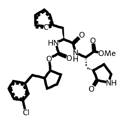 COC(=O)[C@H](C[C@@H]1CCNC1=O)NC(=O)[C@H](Cc1ccccc1)NC(=O)OC1CCCC1Cc1cccc(Cl)c1